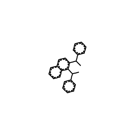 CC(c1ccccc1)c1ccc2ccccc2c1C(C)c1ccccc1